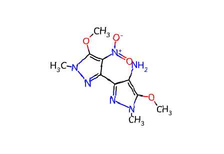 COc1c(N)c(-c2nn(C)c(OC)c2[N+](=O)[O-])nn1C